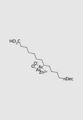 CC(=O)[O-].CC(=O)[O-].CCCCCCCCCCCCCCCCCCCCCC(=O)O.[Zn+2]